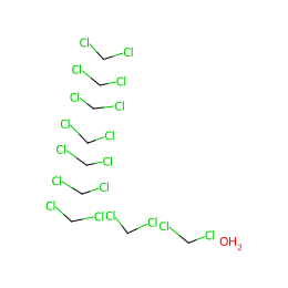 ClCCl.ClCCl.ClCCl.ClCCl.ClCCl.ClCCl.ClCCl.ClCCl.ClCCl.O